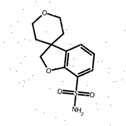 NS(=O)(=O)c1cccc2c1OCC21CCOCC1